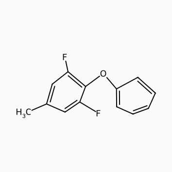 Cc1cc(F)c(Oc2ccccc2)c(F)c1